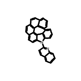 c1ccc2nc(-n3c4cccc5c4c4c6c(ccc7ccc8cccc-5c8c76)ccc43)ccc2c1